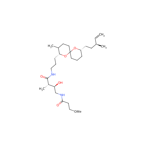 C=C[C@@H](C)CC[C@@H]1CCCC2(CCC(C)[C@@H](CCCNC(=O)[C@@H](C)[C@@H](O)CNC(=O)CCOC)O2)O1